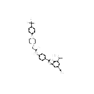 CC(O)c1cc(C#N)cc2nc(-c3ccc(NC(=O)CN4CCN(c5ccc(C(F)(F)F)cc5)CC4)cc3)oc12